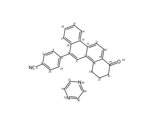 N#Cc1ccc(-c2cc3c4c(ccc3c3ccccc23)C(=O)CCC4)cc1.c1cnccn1